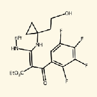 CCCNC(NC1(CCO)CC1)=C(C(=O)OCC)C(=O)c1cc(F)c(F)c(F)c1F